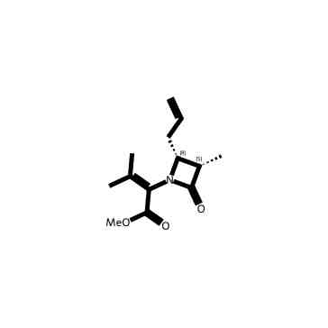 C=CC[C@@H]1[C@H](C)C(=O)N1C(C(=O)OC)=C(C)C